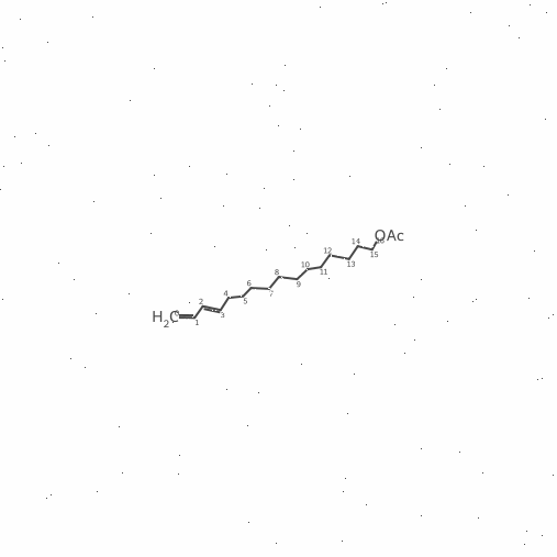 C=CC=CCCCCCCCCCCCCOC(C)=O